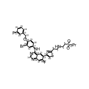 CC(C)S(=O)(=O)CCNCCc1nc(-c2cc3c(Nc4ccc(OCc5cccc(F)c5)c(Br)c4)ncnc3cc2F)cs1